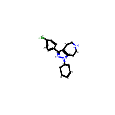 Clc1ccc(-c2nn(C3CCCCC3)c3c2CCNCC3)cc1